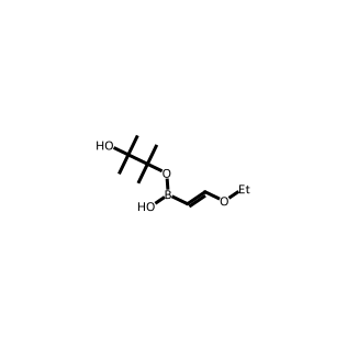 CCOC=CB(O)OC(C)(C)C(C)(C)O